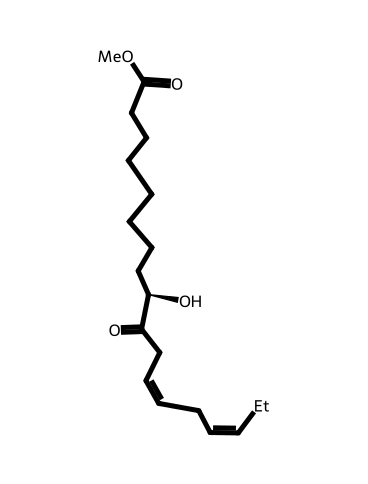 CC/C=C\C/C=C\CC(=O)[C@H](O)CCCCCCCC(=O)OC